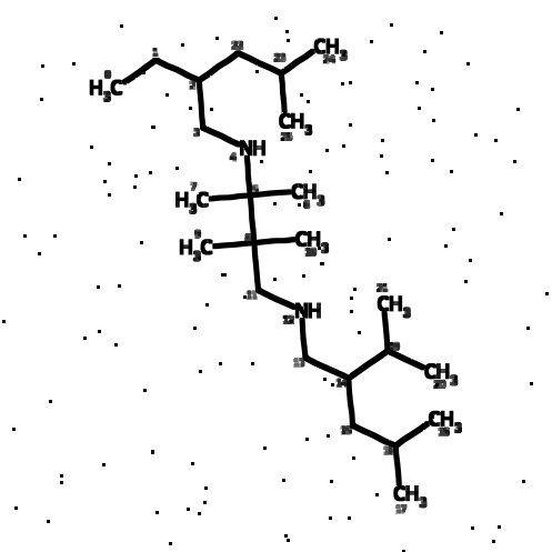 CCC(CNC(C)(C)C(C)(C)CNCC(CC(C)C)C(C)C)CC(C)C